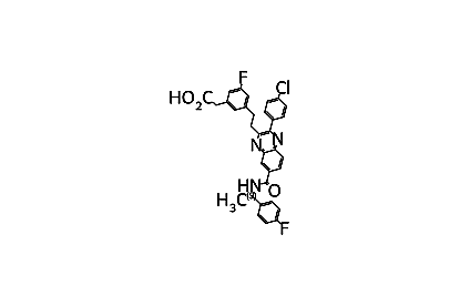 C[C@H](NC(=O)c1ccc2nc(-c3ccc(Cl)cc3)c(CCc3cc(F)cc(CC(=O)O)c3)nc2c1)c1ccc(F)cc1